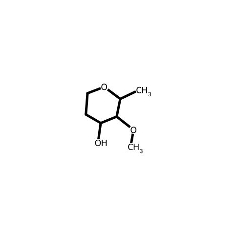 COC1C(O)CCOC1C